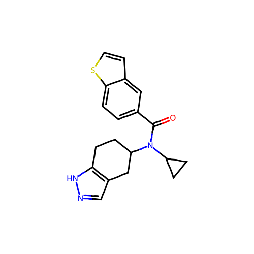 O=C(c1ccc2sccc2c1)N(C1CC1)C1CCc2[nH]ncc2C1